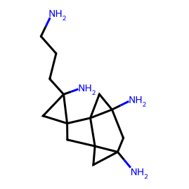 NCCCC1(N)CC12CC13CC1(N)CC1(N)CC123